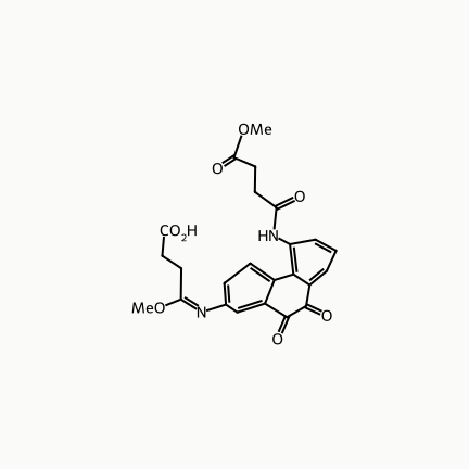 COC(=O)CCC(=O)Nc1cccc2c1-c1ccc(N=C(CCC(=O)O)OC)cc1C(=O)C2=O